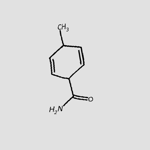 CC1C=CC(C(N)=O)C=C1